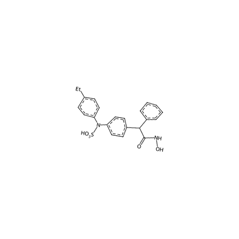 CCc1ccc(N(c2ccc(C(C(=O)NO)c3ccccc3)cc2)S(=O)(=O)O)cc1